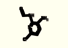 Nc1ccc(Cl)nc1NC=O